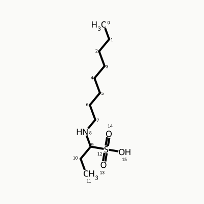 CCCCCCCCNC(CC)S(=O)(=O)O